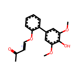 COc1cc(-c2ccccc2O/C=C/C(C)=O)cc(OC)c1O